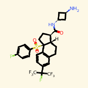 N[C@H]1C[C@H](NC(=O)[C@@H]2CC[C@@]3(S(=O)(=O)c4ccc(F)cc4)c4ccc(C(F)(C(F)(F)F)C(F)(F)F)cc4CC[C@@H]23)C1